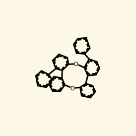 c1ccc(-c2cccc3c2Oc2cccc(-c4ccccc4)c2-c2ccccc2Oc2ccccc2-3)cc1